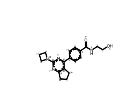 O=C(NCCO)c1ccc(-c2nc(N3CCC3)nc3c2CCC3)cc1